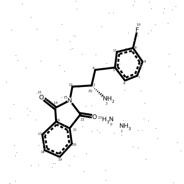 N.N.N[C@@H](Cc1cccc(F)c1)CN1C(=O)c2ccccc2C1=O